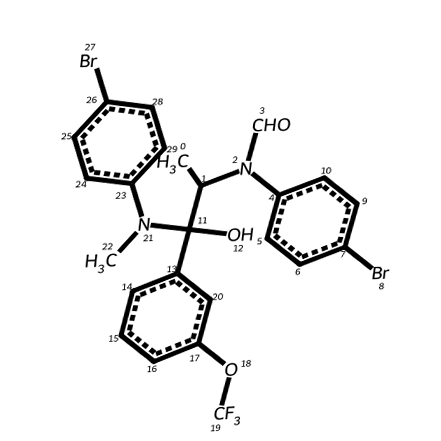 CC(N(C=O)c1ccc(Br)cc1)C(O)(c1cccc(OC(F)(F)F)c1)N(C)c1ccc(Br)cc1